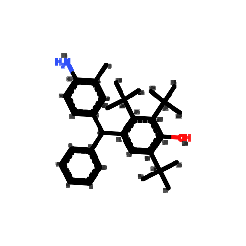 Cc1cc(C(c2ccccc2)c2cc(C(C)(C)C)c(O)c(C(C)(C)C)c2C(C)(C)C)ccc1N